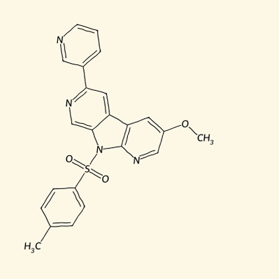 COc1cnc2c(c1)c1cc(-c3cccnc3)ncc1n2S(=O)(=O)c1ccc(C)cc1